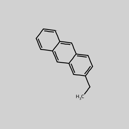 CCc1ccc2cc3[c]cccc3cc2c1